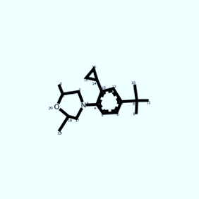 CC1CN(c2ccc(C(C)(C)C)cc2C2CC2)CC(C)O1